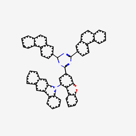 c1ccc2cc3c(cc2c1)c1ccccc1n3-c1cc(C2=NC(c3ccc4c(ccc5ccccc54)c3)=NC(c3ccc4c(ccc5ccccc54)c3)N2)cc2oc3ccccc3c12